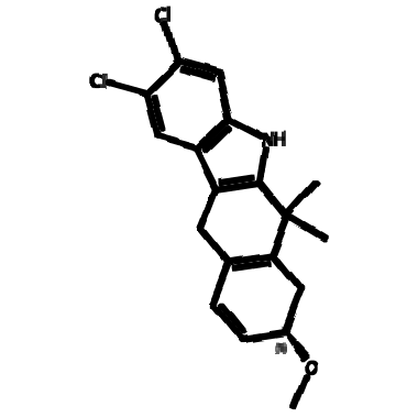 CO[C@H]1C=CC2=C(C1)C(C)(C)c1[nH]c3cc(Cl)c(Cl)cc3c1C2